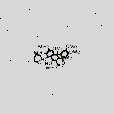 COC(=O)C1=C(O)c2c(OC3CCCCO3)c(OC)c(OC)c(OC)c2C(C)(c2ccc(OC)c(OC)c2)C1C(=O)OC